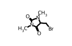 CN1C(=O)C(CBr)N(C)C1=O